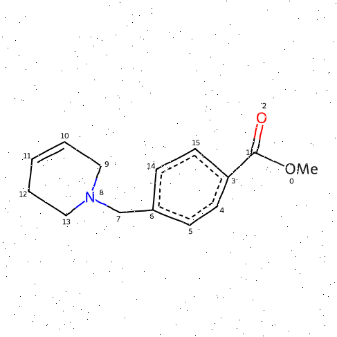 COC(=O)c1ccc(CN2CC=CCC2)cc1